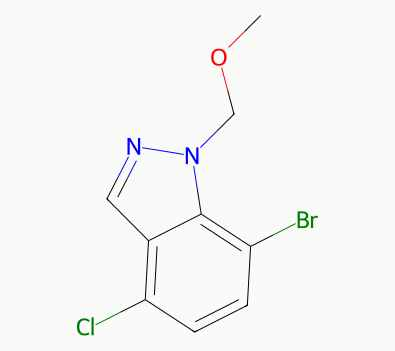 COCn1ncc2c(Cl)ccc(Br)c21